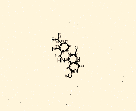 COc1cc2c(N[C@H](C)c3cccc(C(F)F)c3F)nc(C)nc2cn1